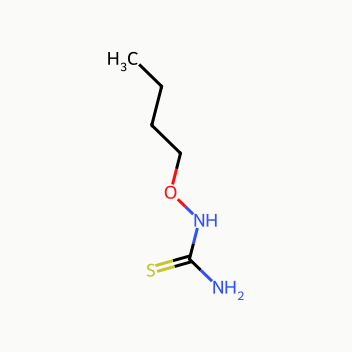 CCCCONC(N)=S